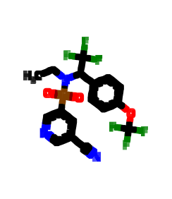 CCN(C(c1ccc(OC(F)(F)F)cc1)C(F)(F)F)S(=O)(=O)c1cncc(C#N)c1